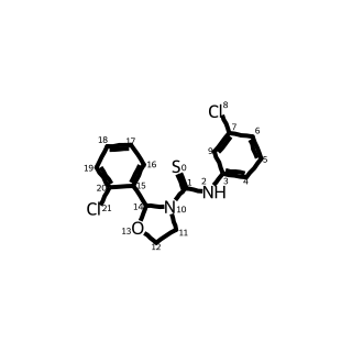 S=C(Nc1cccc(Cl)c1)N1CCOC1c1ccccc1Cl